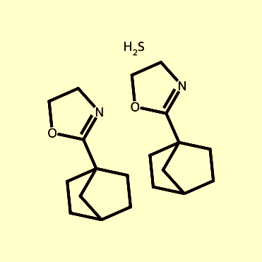 C1COC(C23CCC(CC2)C3)=N1.C1COC(C23CCC(CC2)C3)=N1.S